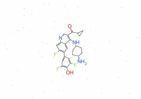 N[C@H]1CC[C@H](Nc2c(C(=O)C3CC3)cnc3cc(F)c(-c4cc(F)c(O)c(F)c4)cc23)CC1